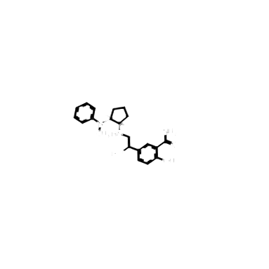 CN(c1ccccc1)[C@H]1CCC[C@H]1NCC(O)c1ccc(O)c(C(N)=O)c1